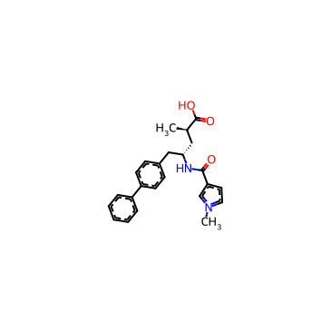 C[C@H](C[C@@H](Cc1ccc(-c2ccccc2)cc1)NC(=O)c1ccn(C)c1)C(=O)O